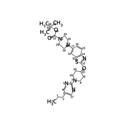 CCCc1cnc(N2CCC(Oc3nc4ccc(N5CCN(C(=O)OC(C)(C)C)CC5)cc4s3)CC2)nc1